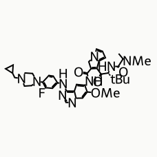 CN[C@@H](C)C(=O)N[C@H](C(=O)C1=C(C(=O)Nc2cc3c(Nc4ccc(N5CCN(CC6CC6)CC5)c(F)c4)ncnc3cc2OC)Cn2cccc21)C(C)(C)C